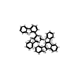 c1ccc2c(c1)oc1c(-c3nc(-n4c5ccccc5c5c6ccccc6c6sc7ccccc7c6c54)nc4c3sc3ccccc34)cccc12